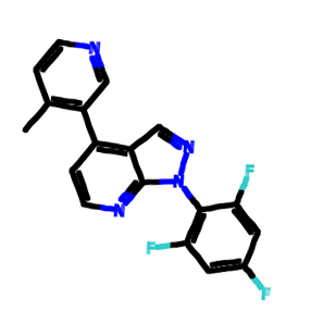 Cc1ccncc1-c1ccnc2c1cnn2-c1c(F)cc(F)cc1F